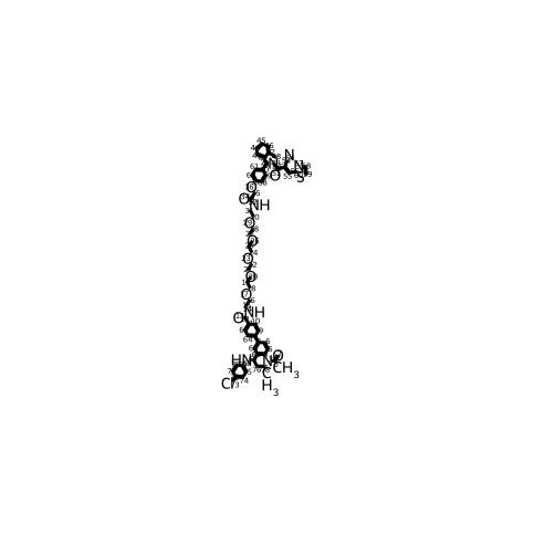 CC(=O)N1c2ccc(-c3ccc(C(=O)NCCOCCOCCOCCOCCOCCNC(=O)COc4ccc(C5c6ccccc6CN5C(=O)C(C#N)=Cc5nccs5)cc4)cc3)cc2[C@H](Nc2ccc(Cl)cc2)C[C@@H]1C